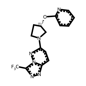 FC(F)(F)c1nnc2ccc(N3CC[C@H](Oc4ccccn4)C3)nn12